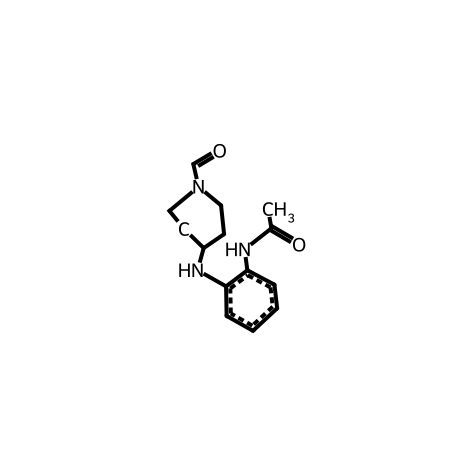 CC(=O)Nc1ccccc1NC1CCN(C=O)CC1